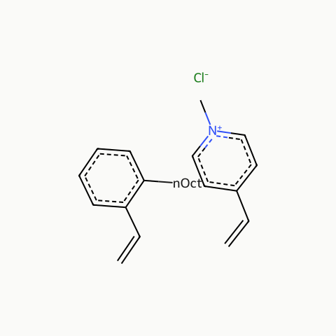 C=Cc1cc[n+](C)cc1.C=Cc1ccccc1CCCCCCCC.[Cl-]